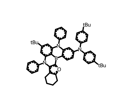 CC(C)(C)c1ccc(N(c2ccc(C(C)(C)C)cc2)c2ccc3c(c2)N(c2ccccc2)c2cc(C(C)(C)C)cc4c2B3c2oc3c(c2N4c2ccccc2)CCCC3)cc1